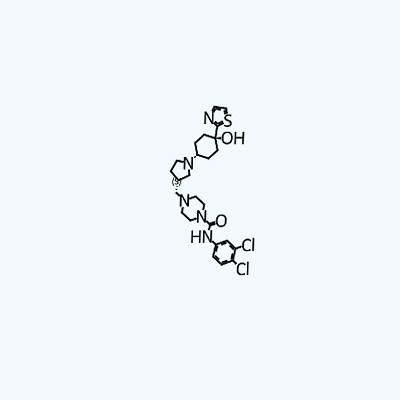 O=C(Nc1ccc(Cl)c(Cl)c1)N1CCN(C[C@@H]2CCN([C@H]3CC[C@@](O)(c4nccs4)CC3)C2)CC1